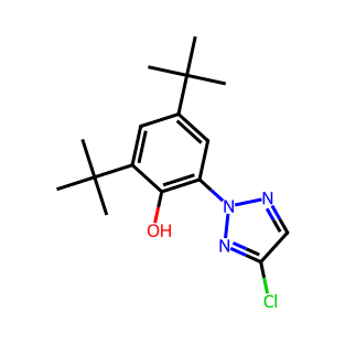 CC(C)(C)c1cc(-n2ncc(Cl)n2)c(O)c(C(C)(C)C)c1